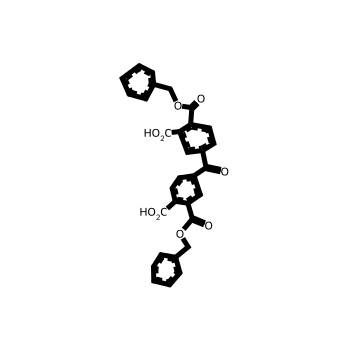 O=C(c1ccc(C(=O)OCc2ccccc2)c(C(=O)O)c1)c1ccc(C(=O)O)c(C(=O)OCc2ccccc2)c1